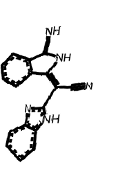 N#CC(=C1NC(=N)c2ccccc21)c1nc2ccccc2[nH]1